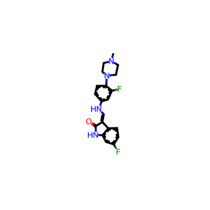 CN1CCN(c2ccc(NC=C3C(=O)Nc4cc(F)ccc43)cc2F)CC1